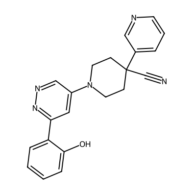 N#CC1(c2cccnc2)CCN(c2cnnc(-c3ccccc3O)c2)CC1